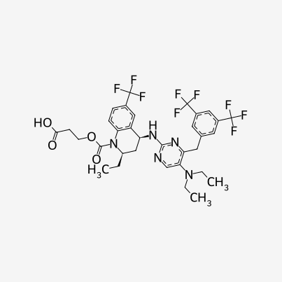 CC[C@@H]1C[C@H](Nc2ncc(N(CC)CC)c(Cc3cc(C(F)(F)F)cc(C(F)(F)F)c3)n2)c2cc(C(F)(F)F)ccc2N1C(=O)OCCC(=O)O